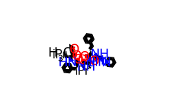 CC(C)C[C@H](NC(=O)[C@H](CCc1ccccc1)NC(=O)CNN1CCCCC1)C(=O)N[C@@H](Cc1ccccc1)C(=O)N[C@@H](CC(C)C)C(=O)[C@@]1(C)CO1